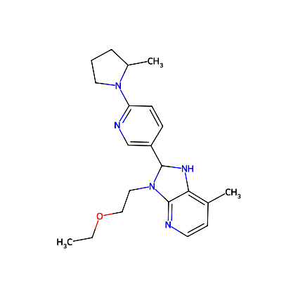 CCOCCN1c2nccc(C)c2NC1c1ccc(N2CCCC2C)nc1